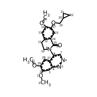 COc1cc2nncc(N3CCc4cc(OC)c(OCC5CC5)cc4C3=O)c2cc1OC